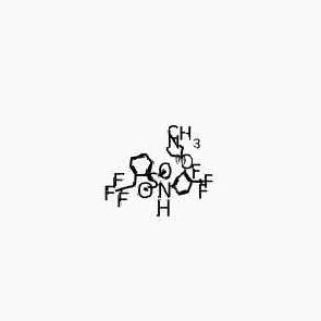 CN1CC[C@@H](Oc2cc(NS(=O)(=O)c3ccccc3CC(F)(F)F)ccc2C(F)(F)F)C1